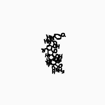 COc1ccc(NC(=O)Nc2cc(N(C)C)c3c(c2O)C(=O)C2=C(O)[C@]4(O)C(=O)C(C(N)=O)=C(O)[C@H](N(C)C)[C@@H]4C[C@@H]2C3)cc1